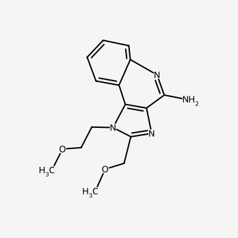 COCCn1c(COC)nc2c(N)nc3ccccc3c21